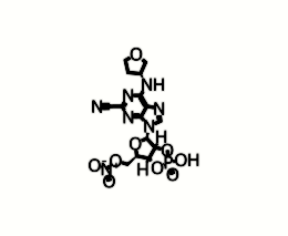 N#Cc1nc(N[C@@H]2CCOC2)c2ncn([C@@H]3O[C@H](CO[N+](=O)[O-])[C@H]4OP(=O)(O)O[C@H]43)c2n1